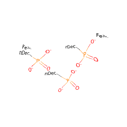 CCCCCCCCCCP(=O)([O-])[O-].CCCCCCCCCCP(=O)([O-])[O-].CCCCCCCCCCP(=O)([O-])[O-].[Fe+3].[Fe+3]